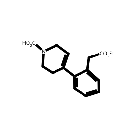 CCOC(=O)Cc1ccccc1C1=CCN(C(=O)O)CC1